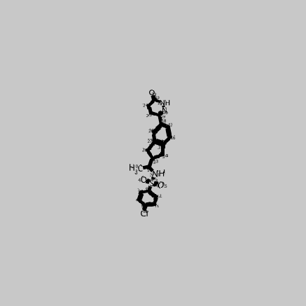 CC(NS(=O)(=O)c1ccc(Cl)cc1)C1Cc2ccc(C3=NNC(=O)CC3)cc2C1